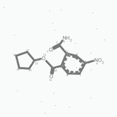 NC(=O)c1cc([N+](=O)[O-])ccc1C(=O)OC1CCCC1